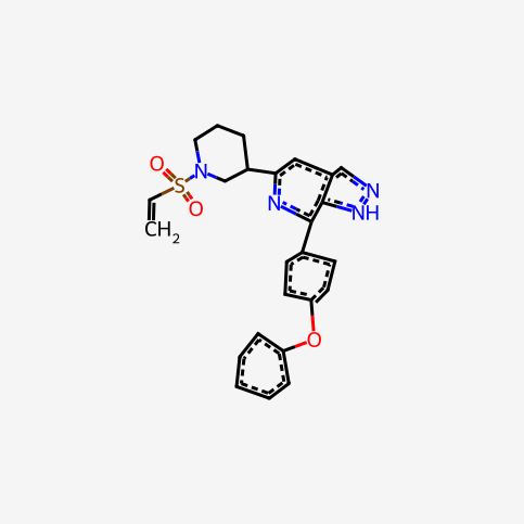 C=CS(=O)(=O)N1CCCC(c2cc3cn[nH]c3c(-c3ccc(Oc4ccccc4)cc3)n2)C1